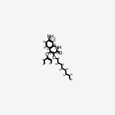 CC=C(CC)Oc1c(OCCCCCCCC)c(=O)[nH]c2cc(N)ccc12